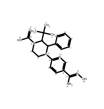 CC(C)(C)C1C(c2ccccc2)N(c2ccc(C(N)=NO)cn2)CCN1C(=O)O